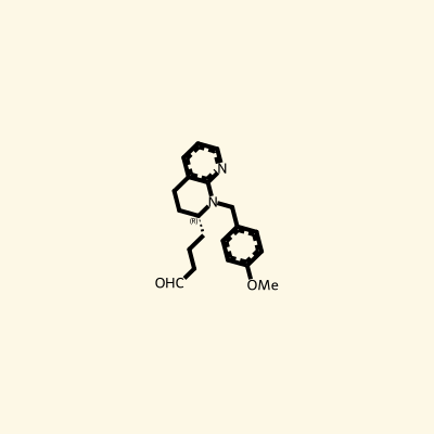 COc1ccc(CN2c3ncccc3CC[C@H]2CCCC=O)cc1